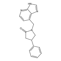 O=C1CC(c2ccccc2)CN1Cc1ccnc2[nH]cnc12